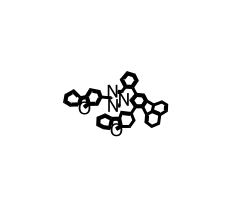 C1=CC2=C3C(=CCC2)c2c(C4=Cc5c(oc6ccccc56)CC4)cc(-c4ccccc4-c4ncnc(-c5ccc6c(c5)oc5ccccc56)n4)cc2C3C1